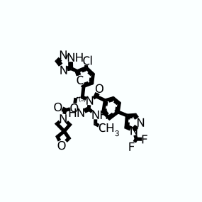 CCNC(=N)N(C(=O)c1ccc(-c2cnn(C(F)F)c2)cc1)[C@H](COC(=O)N1CC2(COC2)C1)c1ccc(Cl)c(-c2ncn[nH]2)c1